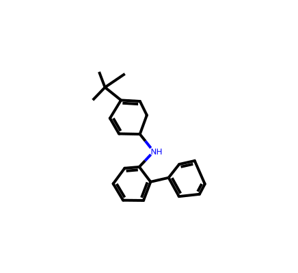 CC(C)(C)C1=CCC(Nc2ccccc2-c2ccccc2)C=C1